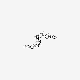 Cc1nc(N2CC[C@H](O)C2)cc(-n2ncc3cc(C)c(C4CCN(C5COC5)CC4)cc32)n1